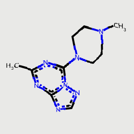 Cc1nc(N2CCN(C)CC2)n2ncnc2n1